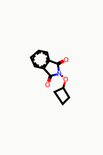 O=C1c2ccccc2C(=O)N1OC1CCC1